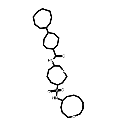 O=C(NC1CCCCC(S(=O)(=O)NC2CCCCCCCCCC2)CCC1)C1CCCC(C2CCCCCCCC2)CCC1